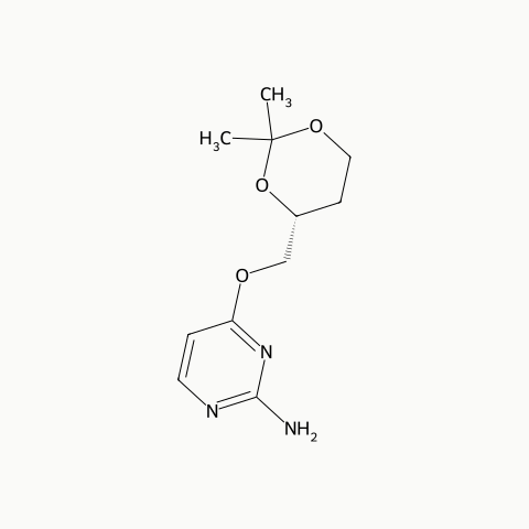 CC1(C)OCC[C@H](COc2ccnc(N)n2)O1